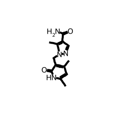 Cc1cc(C)c(Cn2ncc(C(N)=O)c2C)c(=O)[nH]1